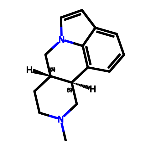 CN1CC[C@@H]2Cn3ccc4cccc(c43)[C@H]2C1